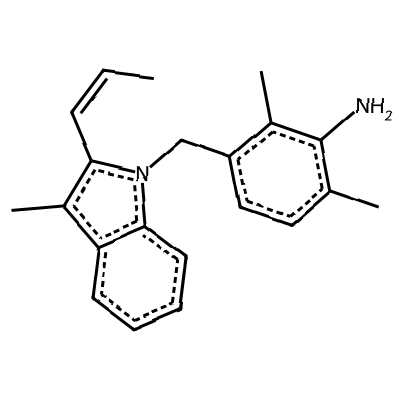 C/C=C\c1c(C)c2ccccc2n1Cc1ccc(C)c(N)c1C